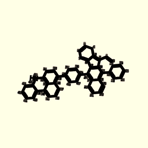 C=CC1=C2CC=CC=C2c2c1c(-c1ccccc1)c1c#cccc1c2-c1ccc(-c2ccc3c4c(cccc24)-c2ccccc2N3)cc1